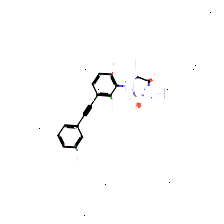 O=C1CN(c2c(O)ccc(C#Cc3cccc(Cl)c3)c2F)S(=O)(=O)N1